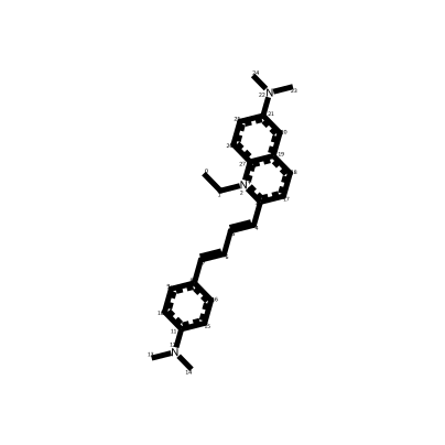 CC[n+]1c(C=CC=Cc2ccc(N(C)C)cc2)ccc2cc(N(C)C)ccc21